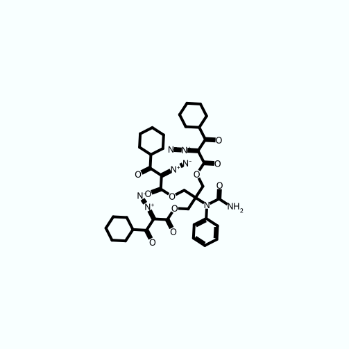 [N-]=[N+]=C(C(=O)OCC(COC(=O)C(=[N+]=[N-])C(=O)C1CCCCC1)(COC(=O)C(=[N+]=[N-])C(=O)C1CCCCC1)N(C(N)=O)c1ccccc1)C(=O)C1CCCCC1